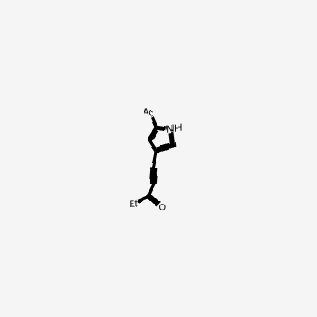 CCC(=O)C#Cc1c[nH]c(C(C)=O)c1